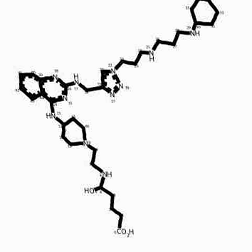 O=C(O)CCCC(O)NCCN1CCC(Nc2nc(NCc3cn(CCCNCCCNC4CCCCC4)nn3)nc3ccccc23)CC1